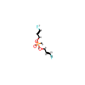 CP(=O)(OC/C=C/F)OC/C=C/F